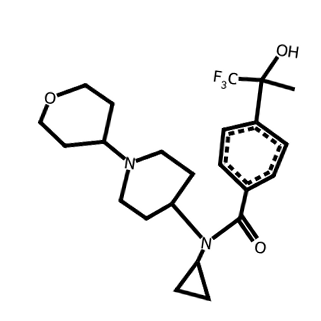 CC(O)(c1ccc(C(=O)N(C2CC2)C2CCN(C3CCOCC3)CC2)cc1)C(F)(F)F